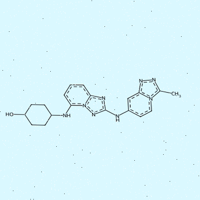 Cc1nnc2cc(Nc3nc4cccc(NC5CCC(O)CC5)n4n3)ccn12